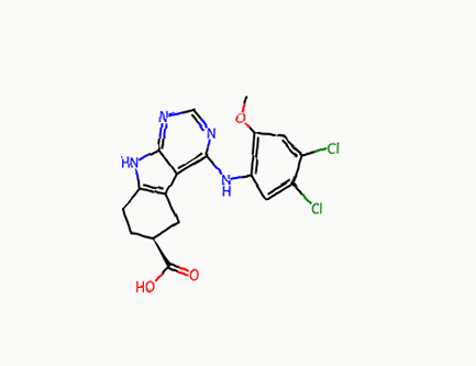 COc1cc(Cl)c(Cl)cc1Nc1ncnc2[nH]c3c(c12)C[C@@H](C(=O)O)CC3